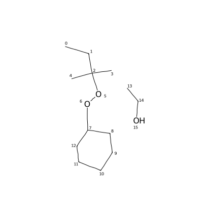 CCC(C)(C)OOC1CCCCC1.CCO